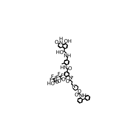 Cc1cc(CNC[C@H](O)c2ccc(O)c3[nH]c(=O)ccc23)ccc1NC(=O)c1ccc(C)c(N(C)C(=O)CCN2CCC(OC(=O)Nc3ccccc3-c3ccccc3)CC2)c1.O=C(O)C(F)(F)F.O=C(O)C(F)(F)F